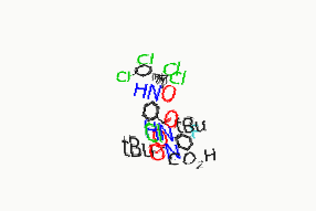 CC(C)(C)OC(=O)N(C(=O)O)c1ccc(F)c(C(C)(C)C)c1NC(=O)c1cc(NC(=O)[C@H]2[C@H](c3cc(Cl)cc(Cl)c3)C2(Cl)Cl)ccc1Cl